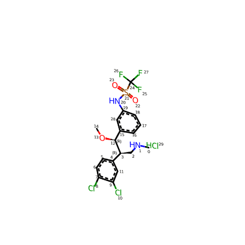 CNC[C@@H](c1ccc(Cl)c(Cl)c1)[C@@H](OC)c1cccc(NS(=O)(=O)C(F)(F)F)c1.Cl